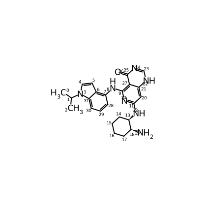 CC(C)n1ccc2c(Nc3nc(N[C@@H]4CCCC[C@@H]4N)cc4[nH]cnc(=O)c34)cccc21